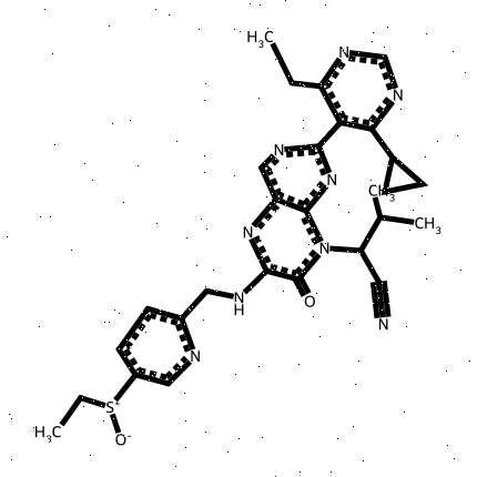 CCc1ncnc(C2CC2)c1-c1ncc2nc(NCc3ccc([S+]([O-])CC)cn3)c(=O)n(C(C#N)C(C)C)c2n1